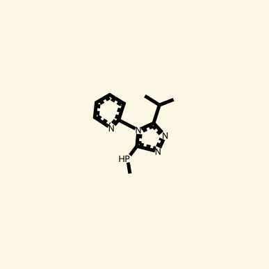 CPc1nnc(C(C)C)n1-c1ccccn1